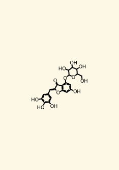 O=C1/C(=C/c2cc(O)c(O)c(O)c2)Oc2cc(O)cc(OC3OC(CO)C(O)C(O)C3O)c21